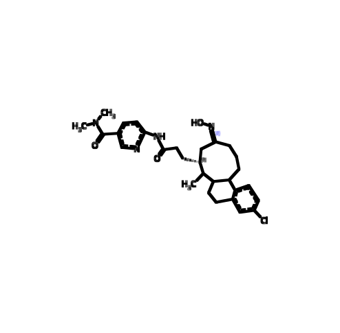 CC1C2CCc3cc(Cl)ccc3C2CCC/C(=N/O)C[C@H]1CCC(=O)Nc1ccc(C(=O)N(C)C)cn1